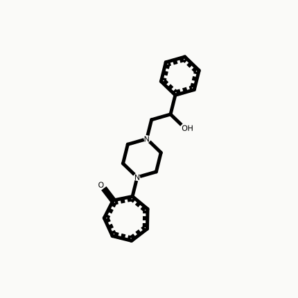 O=c1cccccc1N1CCN(CC(O)c2ccccc2)CC1